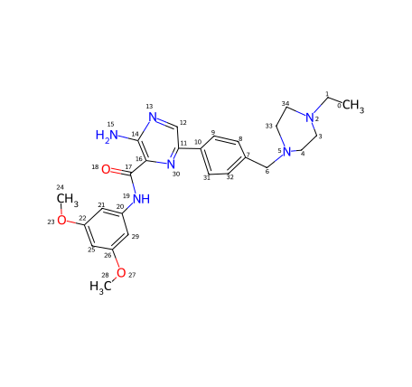 CCN1CCN(Cc2ccc(-c3cnc(N)c(C(=O)Nc4cc(OC)cc(OC)c4)n3)cc2)CC1